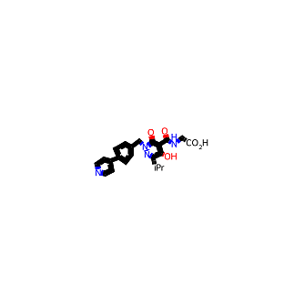 CC(C)c1nn(Cc2ccc(-c3ccncc3)cc2)c(=O)c(C(=O)NCC(=O)O)c1O